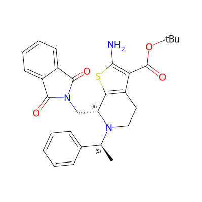 C[C@@H](c1ccccc1)N1CCc2c(sc(N)c2C(=O)OC(C)(C)C)[C@H]1CN1C(=O)c2ccccc2C1=O